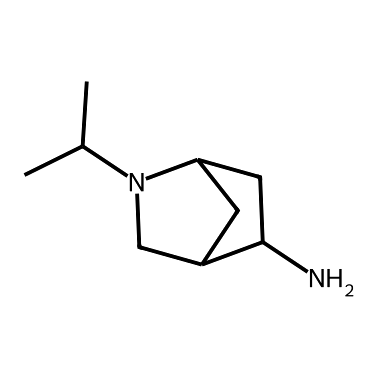 CC(C)N1CC2CC1CC2N